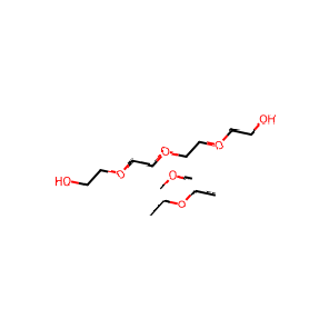 CCOCC.COC.OCCOCCOCCOCCO